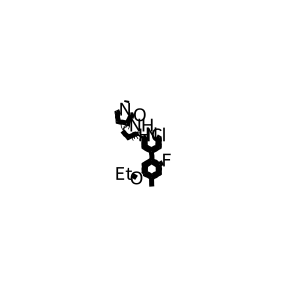 CCOc1cc(-c2ccnc([C@H]3CC[C@@]4(CCN(C)C4=O)N3)c2)c(F)cc1C.Cl